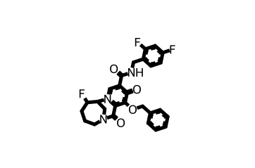 O=C(NCc1ccc(F)cc1F)c1cn2c(c(OCc3ccccc3)c1=O)C(=O)N1CCCC(F)C2C1